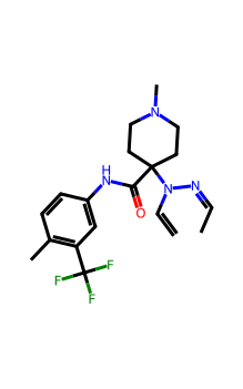 C=CN(/N=C\C)C1(C(=O)Nc2ccc(C)c(C(F)(F)F)c2)CCN(C)CC1